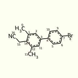 Cc1cc(-c2ccc(Br)cc2)cc(C)c1CC#N